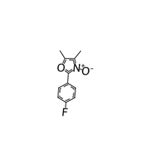 Cc1oc(-c2ccc(F)cc2)[n+]([O-])c1C